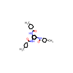 C[C@H]1CC[C@H](C(=O)Nc2cc(NC(=O)[C@H]3CC[C@H](C)CC3)cc(NC(=O)[C@H]3CC[C@H](C)CC3)c2)CC1